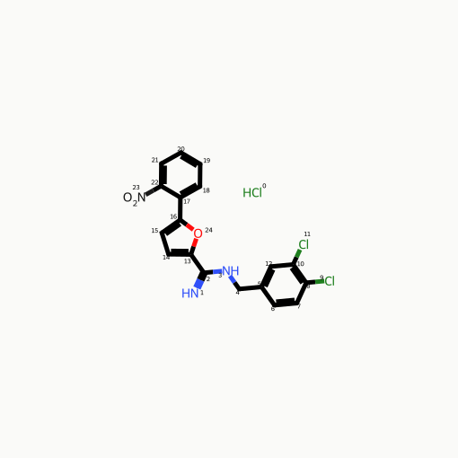 Cl.N=C(NCc1ccc(Cl)c(Cl)c1)c1ccc(-c2ccccc2[N+](=O)[O-])o1